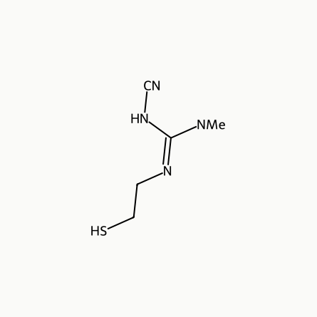 CN/C(=N/CCS)NC#N